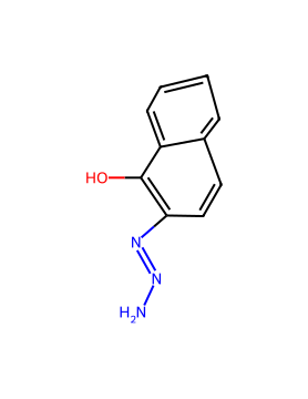 N/N=N/c1ccc2ccccc2c1O